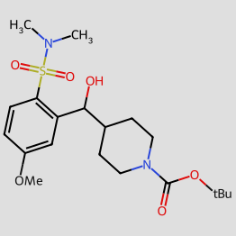 COc1ccc(S(=O)(=O)N(C)C)c(C(O)C2CCN(C(=O)OC(C)(C)C)CC2)c1